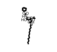 CCCCCCCCCCCCO[C@H]1O[C@H]([C@H](O)CNC(=O)Oc2ccccc2)[C@@H]2OC(C)(C)O[C@H]12